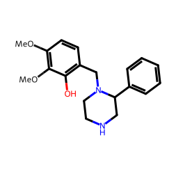 COc1ccc(CN2CCNCC2c2ccccc2)c(O)c1OC